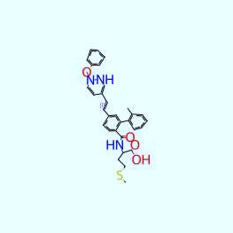 CSCCC(NC(=O)c1ccc(/C=C/C2=CNN(Oc3ccccc3)C=C2)cc1-c1ccccc1C)C(=O)O